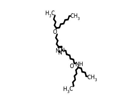 CCCCCCCC(CCCCC)NC(=O)CCCCCn1cc(CCCCOC(CCCCC)CCCCCCC)nn1